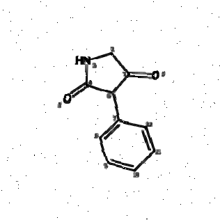 O=C1CNC(=O)C1c1ccccc1